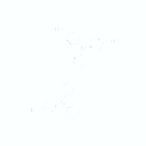 Cc1ccc(N(c2ccccc2)c2ccc(CCc3ccc(N(c4ccc(C)cc4)c4ccc(C)cc4)cc3)cc2)cc1